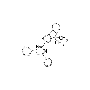 CC1(C)c2ccccc2-c2ccc(-c3nc(-c4ccccc4)cc(-c4ccccc4)n3)cc21